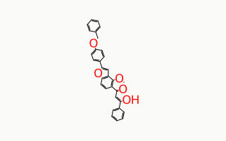 COc1c(C(=O)C=C(O)c2ccccc2)ccc2oc(-c3ccc(OCc4ccccc4)cc3)cc12